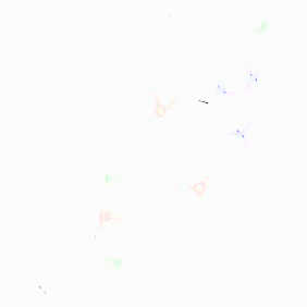 N#Cc1ccc(OCc2cc(OC3CCN(Cc4nc5c(F)cc(C(=O)O)cc5n4C[C@@H]4CCO4)CC3)ccc2F)c(F)c1